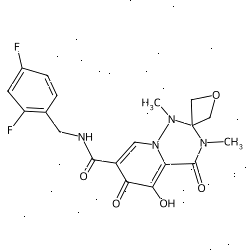 CN1C(=O)c2c(O)c(=O)c(C(=O)NCc3ccc(F)cc3F)cn2N(C)C12COC2